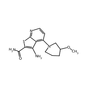 COC1CCCN(c2ccnc3sc(C(N)=O)c(N)c23)C1